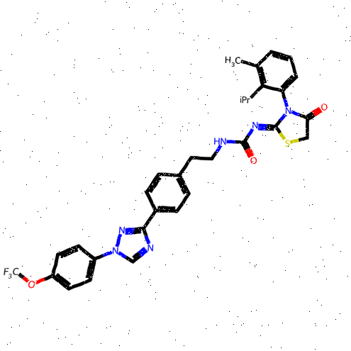 Cc1cccc(N2C(=O)CS/C2=N\C(=O)NCCc2ccc(-c3ncn(-c4ccc(OC(F)(F)F)cc4)n3)cc2)c1C(C)C